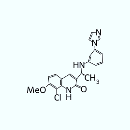 COc1ccc2cc([C@H](C)Nc3cccc(-n4ccnc4)c3)c(=O)[nH]c2c1Cl